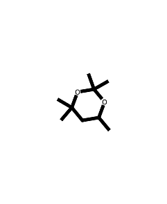 CC1CC(C)(C)OC(C)(C)O1